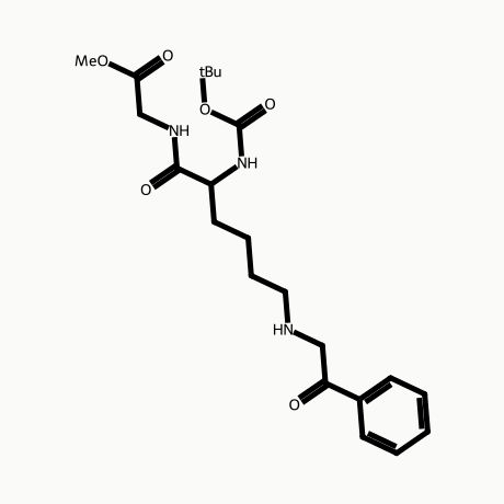 COC(=O)CNC(=O)C(CCCCNCC(=O)c1ccccc1)NC(=O)OC(C)(C)C